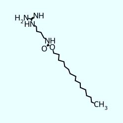 CCCCCCCCCCCCCCCCOC(=O)NCCCCNC(=N)N